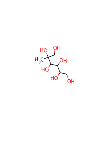 CC(O)(CO)C(O)C(O)C(O)CO